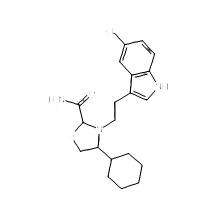 NC(=O)C1OCC(C2CCCCC2)N1CCc1c[nH]c2ccc(Cl)cc12